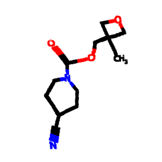 CC1(COC(=O)N2CCC(C#N)CC2)COC1